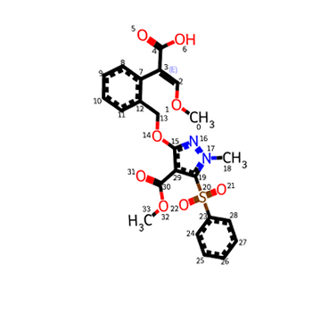 CO/C=C(/C(=O)O)c1ccccc1COc1nn(C)c(S(=O)(=O)c2ccccc2)c1C(=O)OC